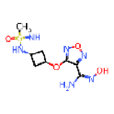 CS(=N)(=O)N[C@H]1C[C@@H](Oc2nonc2/C(N)=N\O)C1